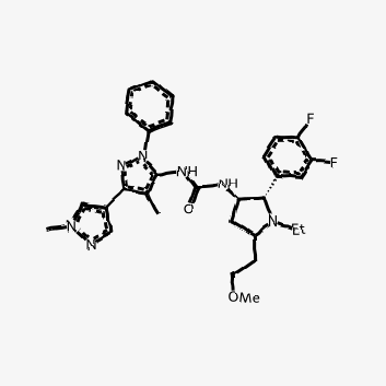 CCN1C(CCOC)C[C@@H](NC(=O)Nc2c(C)c(-c3cnn(C)c3)nn2-c2ccccc2)[C@@H]1c1ccc(F)c(F)c1